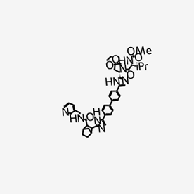 COC(=O)N[C@H](C(=O)N1CC2(C[C@H]1c1ncc(-c3ccc(-c4ccc(-c5cnc(C6C7CCC(C7)C6C(=O)NCc6cccnc6)[nH]5)cc4)cc3)[nH]1)OCCO2)C(C)C